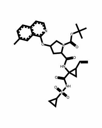 C=CC1CC1(NC(=O)C1CC(Oc2nccc3ccc(C)cc23)CN1C(=O)OC(C)(C)C)C(=O)NS(=O)(=O)C1CC1